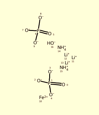 O=P([O-])([O-])[O-].O=P([O-])([O-])[O-].[Fe+2].[Li+].[Li+].[Li+].[NH4+].[NH4+].[OH-]